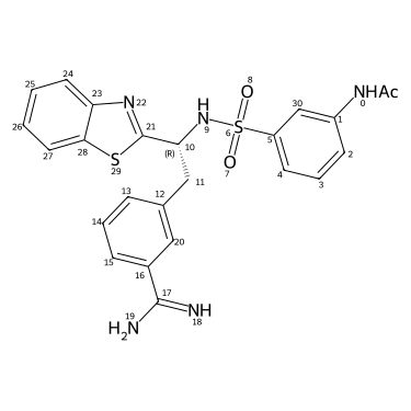 CC(=O)Nc1cccc(S(=O)(=O)N[C@H](Cc2cccc(C(=N)N)c2)c2nc3ccccc3s2)c1